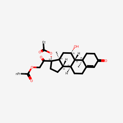 CCCC(=O)OCC(=O)[C@]1(OC(=O)CC)CC[C@H]2[C@@H]3CCC4=CC(=O)CC[C@]4(C)[C@H]3[C@@H](O)C[C@@]21C